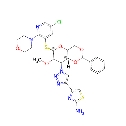 COC1C(n2cc(-c3csc(N)n3)nn2)[C@H]2OC(c3ccccc3)OCC2O[C@@H]1Sc1cc(Cl)cnc1N1CCOCC1